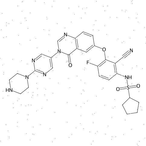 N#Cc1c(NS(=O)(=O)C2CCCC2)ccc(F)c1Oc1ccc2ncn(-c3cnc(N4CCNCC4)nc3)c(=O)c2c1